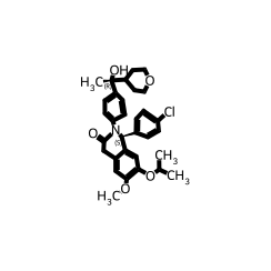 COc1cc2c(cc1OC(C)C)[C@H](c1ccc(Cl)cc1)N(c1ccc([C@](C)(O)C3CCOCC3)cc1)C(=O)C2